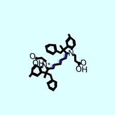 Cc1ccc2c(c1)C(C)(Cc1ccccc1)C(/C=C/C=C/C=C1/N(CCC(=O)O)c3ccc(C)cc3C1(C)Cc1ccccc1)=[N+]2CCC(=O)O